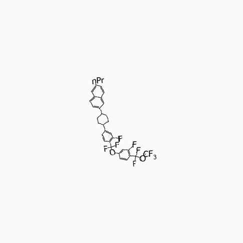 CCCc1ccc2cc(C3CCC(c4ccc(C(F)(F)Oc5ccc(C(F)(F)OC(F)(F)F)c(F)c5)c(F)c4)CC3)ccc2c1